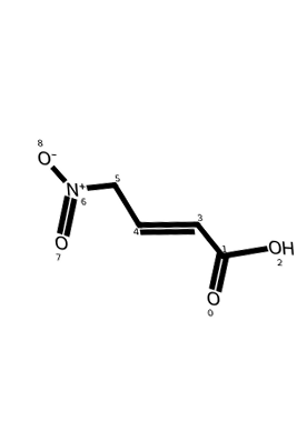 O=C(O)C=CC[N+](=O)[O-]